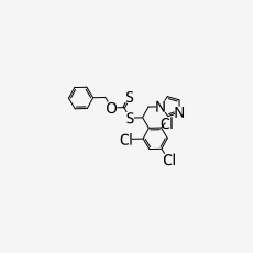 S=C(OCc1ccccc1)SC(Cn1ccnc1)c1c(Cl)cc(Cl)cc1Cl